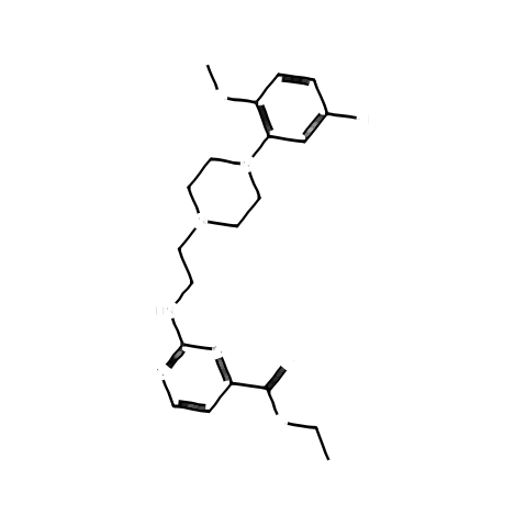 CCOC(=O)c1ccnc(NCCN2CCN(c3cc(Cl)ccc3OC)CC2)n1